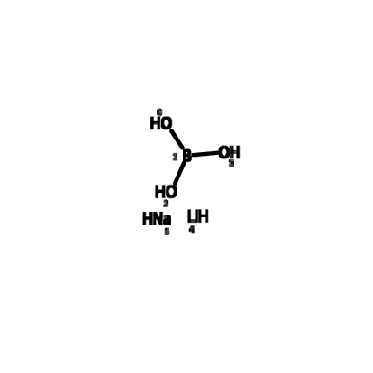 OB(O)O.[LiH].[NaH]